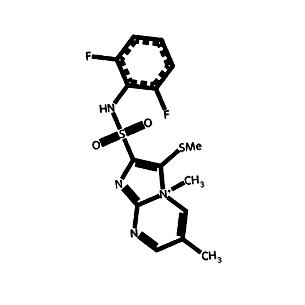 CSC1=C(S(=O)(=O)Nc2c(F)cccc2F)N=C2N=CC(C)=C[N+]21C